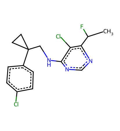 CC(F)c1ncnc(NCC2(c3ccc(Cl)cc3)CC2)c1Cl